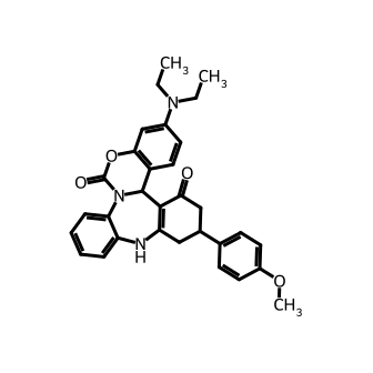 CCN(CC)c1ccc2c(c1)OC(=O)N1c3ccccc3NC3=C(C(=O)CC(c4ccc(OC)cc4)C3)C21